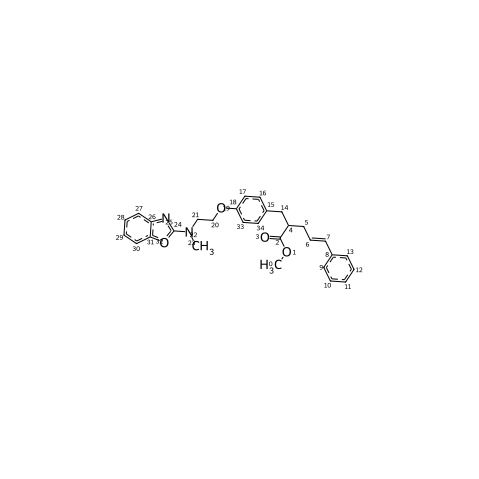 COC(=O)C(CC=Cc1ccccc1)Cc1ccc(OCCN(C)c2nc3ccccc3o2)cc1